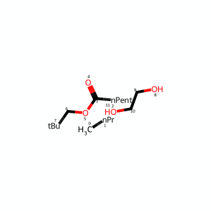 CCCC.CCCCCC(=O)OCC(C)(C)C.OCCO